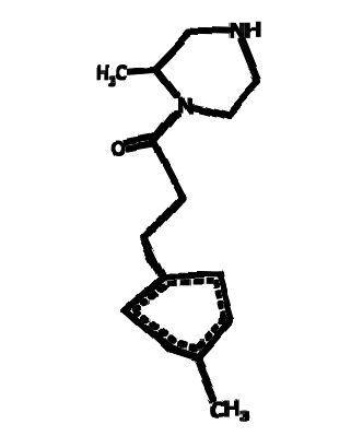 Cc1ccc(CCC(=O)N2CCNCC2C)cc1